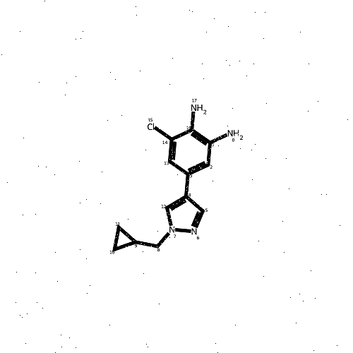 Nc1cc(-c2cnn(CC3CC3)c2)cc(Cl)c1N